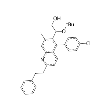 Cc1cc2nc(CCc3ccccc3)ccc2c(-c2ccc(Cl)cc2)c1C(CO)OC(C)(C)C